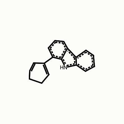 C1=CC(c2cccc3c2[nH]c2ccccc23)=CCC1